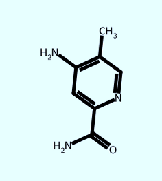 Cc1cnc(C(N)=O)cc1N